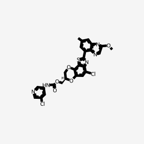 COc1cnc2c(-c3nc4c(Cl)cc5c(c4s3)OC[C@H](COC(=O)Nc3cncc(Cl)c3)O5)cc(C)cc2n1